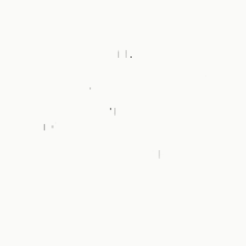 Cc1cccc(C)c1N(N)/C(I)=C(\N)C1CC1